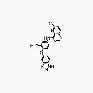 Cc1cc(Nc2ncnc3ccc(Cl)nc23)ccc1Oc1ccc2[nH]nnc2c1